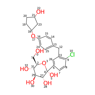 OC[C@H]1O[C@@](O)(c2ccc(Cl)c(Cc3ccc(OC4CCC(O)C4)cc3)c2)[C@H](O)[C@@H](O)[C@@H]1O